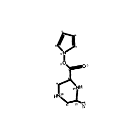 O=C(On1cccc1)C1CNCC(Cl)N1